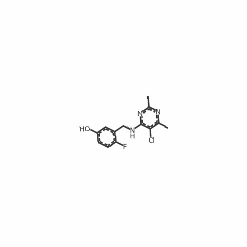 Cc1nc(C)c(Cl)c(NCc2cc(O)ccc2F)n1